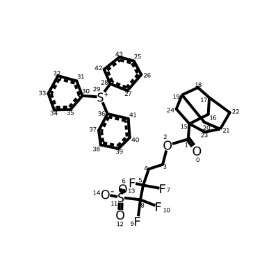 O=C(OCCC(F)(F)C(F)(F)S(=O)(=O)[O-])C12CC3CC(CC(C3)C1)C2.c1ccc([S+](c2ccccc2)c2ccccc2)cc1